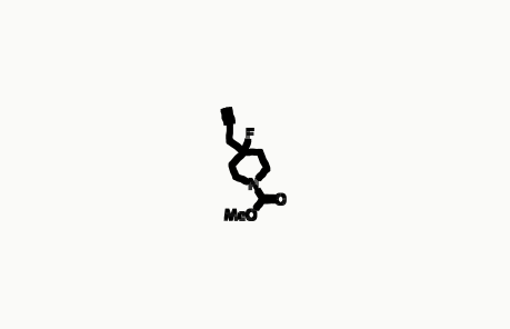 C#CCC1(F)CCN(C(=O)OC)CC1